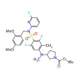 COc1ccc(CN(c2cccc(F)n2)S(=O)(=O)c2c(F)cc(N(C)C3CCN(C(=O)OC(C)(C)C)C3)c(C)c2F)c(OC)c1